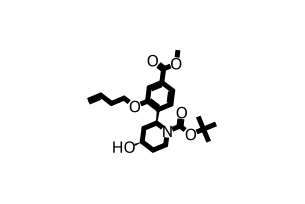 C=CCCOc1cc(C(=O)OC)ccc1[C@@H]1C[C@@H](O)CCN1C(=O)OC(C)(C)C